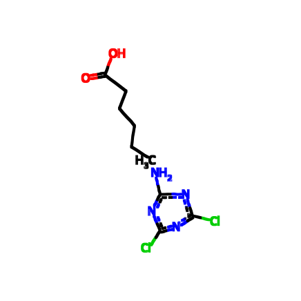 CCCCCC(=O)O.Nc1nc(Cl)nc(Cl)n1